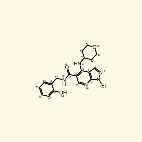 CCn1ncc2c(NC3CCOCC3)c(C(=O)NCc3ccccc3O)cnc21